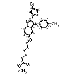 COC(=O)CCCCCOc1ccc2nc(-c3cc(Br)cs3)n(-c3ccc(C)cc3)c2c1